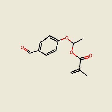 C=C(C)C(=O)OC(C)Oc1ccc(C=O)cc1